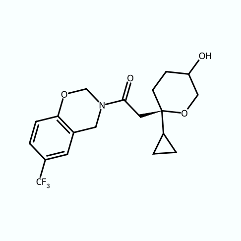 O=C(C[C@@]1(C2CC2)CCC(O)CO1)N1COc2ccc(C(F)(F)F)cc2C1